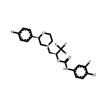 O=C(Nc1ccc(Cl)c(F)c1)O[C@@H](CN1CCO[C@H](c2ccc(F)cc2)C1)C(F)(F)F